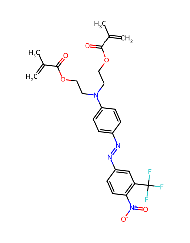 C=C(C)C(=O)OCCN(CCOC(=O)C(=C)C)c1ccc(/N=N/c2ccc([N+](=O)[O-])c(C(F)(F)F)c2)cc1